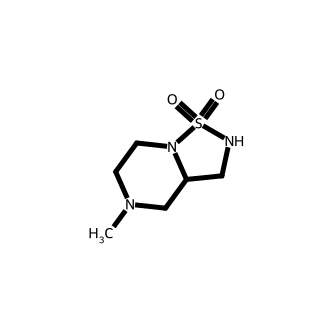 CN1CCN2C(CNS2(=O)=O)C1